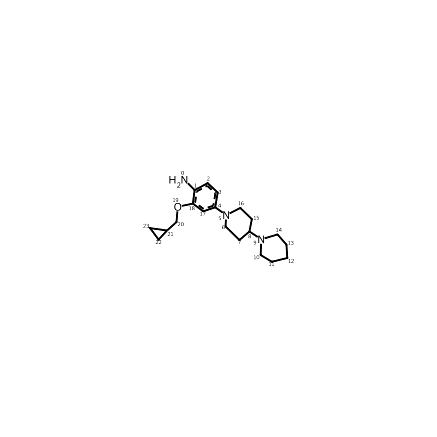 Nc1ccc(N2CCC(N3CCCCC3)CC2)cc1OCC1CC1